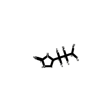 O=C1OCC(C(F)(F)C(F)(F)C(F)F)O1